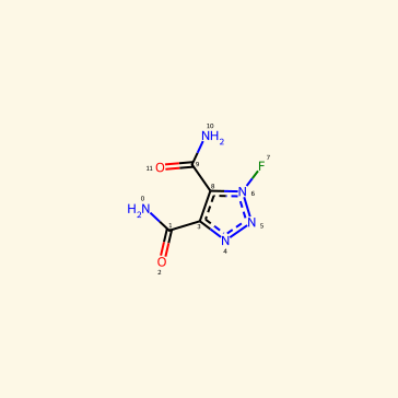 NC(=O)c1nnn(F)c1C(N)=O